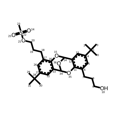 CC(C)(C)c1cc(CCCO)c2c(c1)C1Oc3c(CCCOS(C)(=O)=O)cc(C(C)(C)C)cc3C(O2)O1